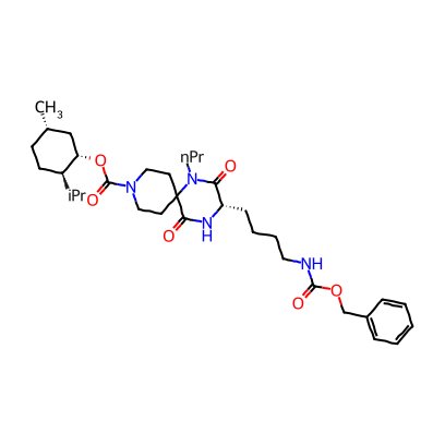 CCCN1C(=O)[C@H](CCCCNC(=O)OCc2ccccc2)NC(=O)C12CCN(C(=O)O[C@H]1C[C@@H](C)CC[C@@H]1C(C)C)CC2